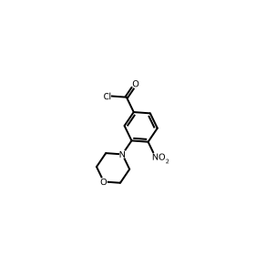 O=C(Cl)c1ccc([N+](=O)[O-])c(N2CCOCC2)c1